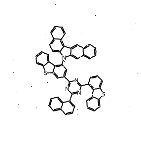 c1ccc2cc3c(cc2c1)c1c2ccccc2ccc1n3-c1cc(-c2nc(-c3cccc4ccccc34)nc(-c3cccc4sc5ccccc5c34)n2)cc2sc3ccccc3c12